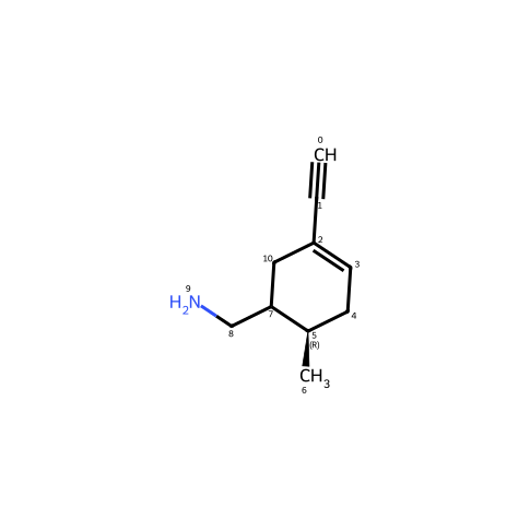 C#CC1=CC[C@@H](C)C(CN)C1